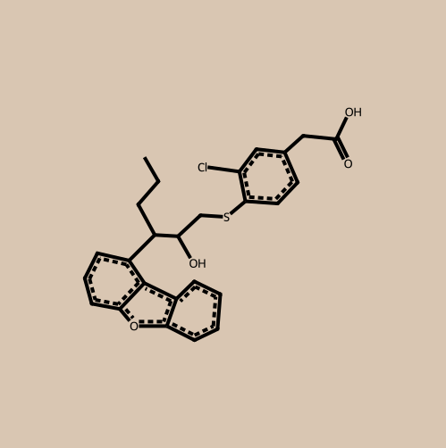 CCCC(c1cccc2oc3ccccc3c12)C(O)CSc1ccc(CC(=O)O)cc1Cl